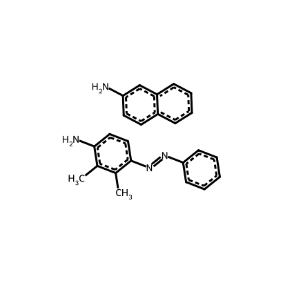 Cc1c(N)ccc(N=Nc2ccccc2)c1C.Nc1ccc2ccccc2c1